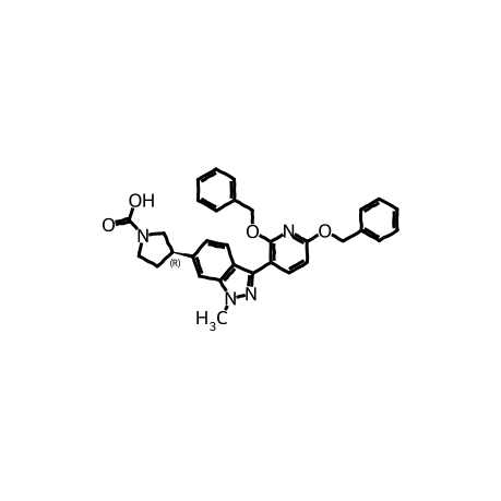 Cn1nc(-c2ccc(OCc3ccccc3)nc2OCc2ccccc2)c2ccc([C@H]3CCN(C(=O)O)C3)cc21